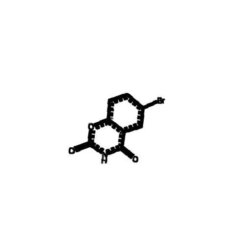 O=c1[nH]c(=O)c2cc(Br)ccc2o1